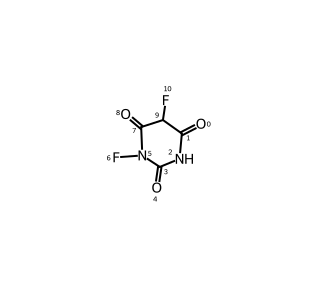 O=C1NC(=O)N(F)C(=O)C1F